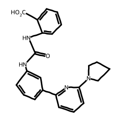 O=C(Nc1cccc(-c2cccc(N3CCCC3)n2)c1)Nc1ccccc1C(=O)O